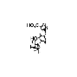 Cc1c(C(C)n2cc(C(=O)O)nn2)cnc(N2C[C@H]3C[C@H]3C2=O)c1O